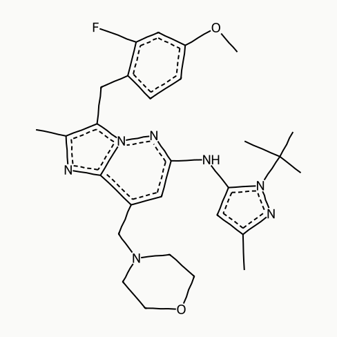 COc1ccc(Cc2c(C)nc3c(CN4CCOCC4)cc(Nc4cc(C)nn4C(C)(C)C)nn23)c(F)c1